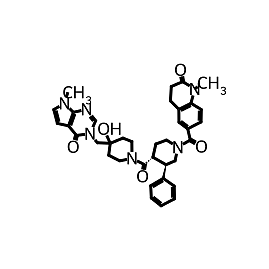 CN1C(=O)CCc2cc(C(=O)N3CC[C@@H](C(=O)N4CCC(O)(Cn5cnc6c(ccn6C)c5=O)CC4)[C@H](c4ccccc4)C3)ccc21